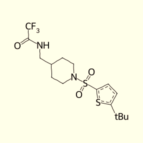 CC(C)(C)c1ccc(S(=O)(=O)N2CCC(CNC(=O)C(F)(F)F)CC2)s1